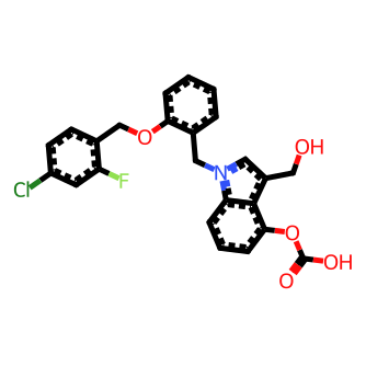 O=C(O)Oc1cccc2c1c(CO)cn2Cc1ccccc1OCc1ccc(Cl)cc1F